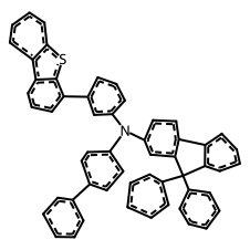 c1ccc(-c2ccc(N(c3cccc(-c4cccc5c4sc4ccccc45)c3)c3ccc4c(c3)C(c3ccccc3)(c3ccccc3)c3ccccc3-4)cc2)cc1